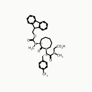 CN(CC(=O)O)C(=O)[C@H](Cc1ccc(C(F)(F)F)cc1)N1CCCCC[C@H](N(C)C(=O)OCC2c3ccccc3-c3ccccc32)C1=O